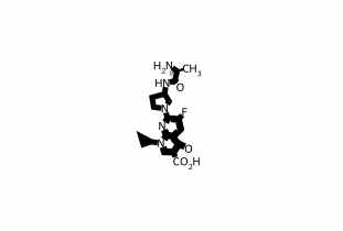 C[C@H](N)C(=O)NC1CCN(c2nc3c(cc2F)c(=O)c(C(=O)O)cn3C2CC2)C1